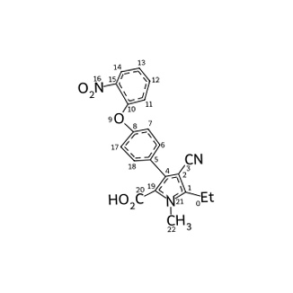 CCc1c(C#N)c(-c2ccc(Oc3ccccc3[N+](=O)[O-])cc2)c(C(=O)O)n1C